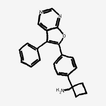 NC1(c2ccc(-c3oc4ncncc4c3-c3ccccc3)cc2)CCC1